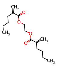 C=C(CCCC)C(=O)OCCOC(=O)C(=C)CCCC